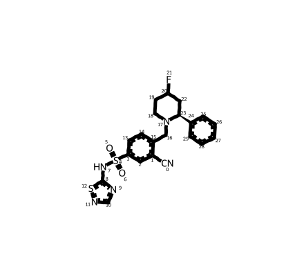 N#Cc1cc(S(=O)(=O)Nc2ncns2)ccc1CN1CCC(F)C[C@H]1c1ccccc1